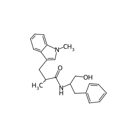 C[C](Cc1cn(C)c2ccccc12)C(=O)NC(CO)Cc1ccccc1